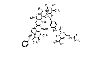 CC[C@H](C)[C@@H]([C@@H](CC(=O)N1CCC[C@H]1[C@H](OC)[C@@H](C)C(=O)N[C@H](C)[C@@H](O)c1ccccc1)OC)N(C)C(=O)[C@@H](NC(=O)[C@H](C(C)C)N(C)C(=O)OCc1ccc(NC(=O)[C@H](CCCNC(N)=O)NC(=O)C(N)C(C)C)cc1)C(C)C